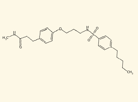 CCCCCc1ccc(S(=O)(=O)NCCCOc2ccc(CCC(=O)NC)cc2)cc1